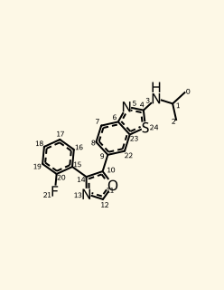 CC(C)Nc1nc2ccc(-c3ocnc3-c3ccccc3F)cc2s1